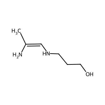 C/C(N)=C/NCCCO